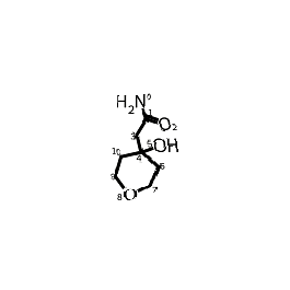 NC(=O)CC1(O)CCOCC1